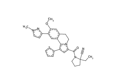 CCC1(C#N)CCCN1C(=O)c1cc(-c2cccs2)c2n1CCc1cc(OC)c(-c3ccn(C)n3)cc1-2